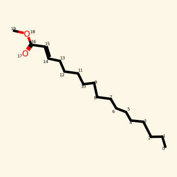 CCCCCCCCCCCCCC/C=C/C(=O)OC